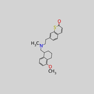 COc1cccc2c1CCCC2CN(C)CCc1ccc2ccc(=O)sc2c1